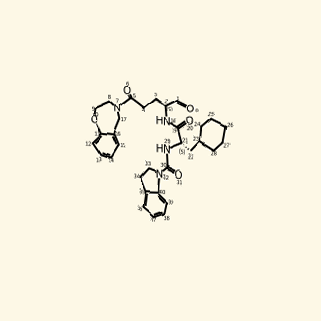 O=C[C@H](CCC(=O)N1CCOc2ccccc2C1)NC(=O)[C@H](CC1CCCCC1)NC(=O)N1CCc2ccccc21